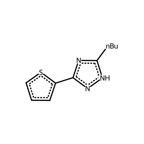 CCCCc1nc(-c2cccs2)n[nH]1